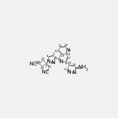 N#CC[C@]1(n2ccc(-c3nc(-c4cnnc(N)c4)cc4ncccc34)n2)C[C@H](C#N)C1